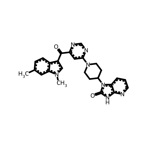 Cc1ccc2c(C(=O)c3cc(N4CCC(n5c(=O)[nH]c6ncccc65)CC4)ncn3)cn(C)c2c1